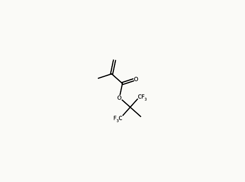 C=C(C)C(=O)OC(C)(C(F)(F)F)C(F)(F)F